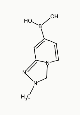 CN1CN2C=CC(B(O)O)=CC2=N1